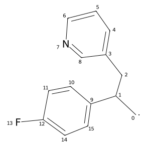 [CH2]C(Cc1cccnc1)c1ccc(F)cc1